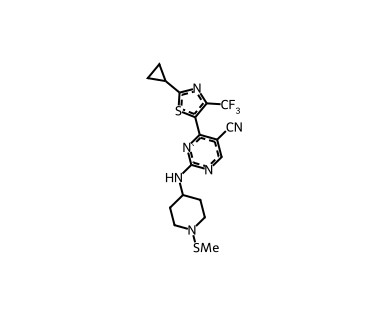 CSN1CCC(Nc2ncc(C#N)c(-c3sc(C4CC4)nc3C(F)(F)F)n2)CC1